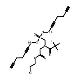 C#CCCC#CNOP(=O)(CN(CC(=O)OCCCl)C(=O)C(F)(F)F)ONC#CCCC#C